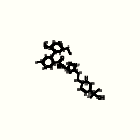 CCc1cc(-c2cc(C)ncc2C(=O)Nc2nnc(CCC3C=CC(C(C)(C)O)=CN3)s2)c(OC)cn1